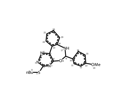 CCCCSc1nnc2c(n1)OC(c1ccc(OC)cc1)Nc1ccccc1-2